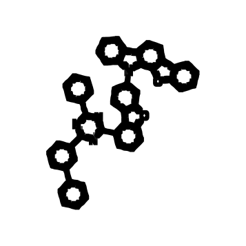 c1ccc(-c2cccc(-c3nc(-c4ccccc4)nc(-c4cccc5oc6cc(-n7c8ccccc8c8ccc9c%10ccccc%10oc9c87)ccc6c45)n3)c2)cc1